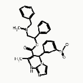 CC1=C(C(=O)OC(CN(C)Cc2ccccc2)c2ccccc2)C(c2cccc([N+](=O)[O-])c2)n2ccnc2N1